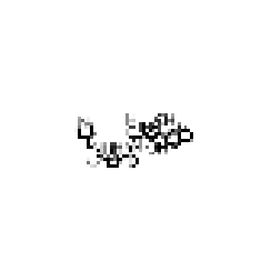 CC(=NNC(=O)c1ccc(C(=O)NCc2ccncc2)s1)c1nn(C)c(-c2ccc3c(c2)CCC3)c1O